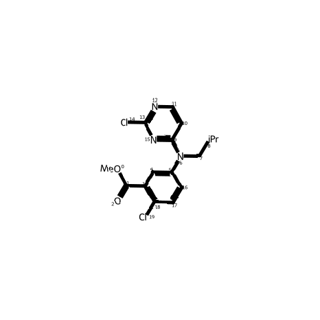 COC(=O)c1cc(N(CC(C)C)c2ccnc(Cl)n2)ccc1Cl